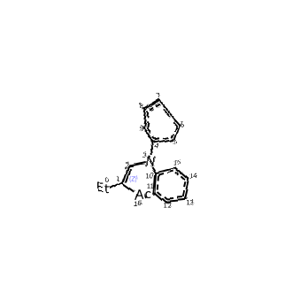 CC/C(=C/N(c1ccccc1)c1ccccc1)C(C)=O